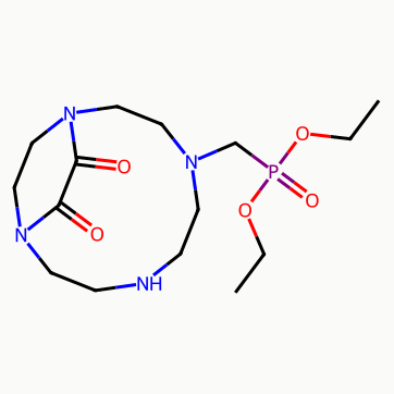 CCOP(=O)(CN1CCNCCN2CCN(CC1)C(=O)C2=O)OCC